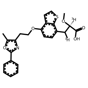 [3H]C(c1ccc(OCCc2nc(-c3ccccc3)oc2C)c2ccsc12)[C@@]([3H])(OC)C(=O)O